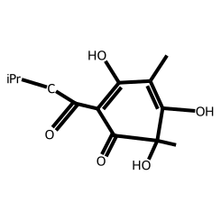 CC1=C(O)C(C)(O)C(=O)C(C(=O)CC(C)C)=C1O